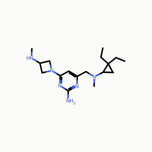 CCC1(CC)CC1N(C)Cc1cc(N2CC(NC)C2)nc(N)n1